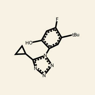 CC(C)(C)c1cc(-n2nnnc2C2CC2)c(O)cc1F